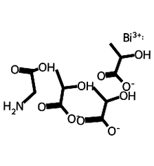 CC(O)C(=O)[O-].CC(O)C(=O)[O-].CC(O)C(=O)[O-].NCC(=O)O.[Bi+3]